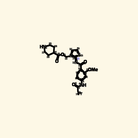 COc1cc(NC(=O)C(C)C)ccc1C(=O)/N=c1\sccn1COC(=O)C1CCNCC1